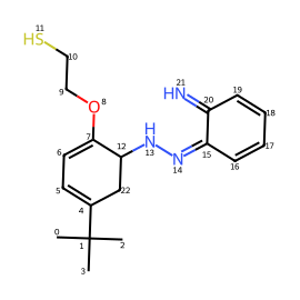 CC(C)(C)C1=CC=C(OCCS)C(N/N=C2/C=CC=CC2=N)C1